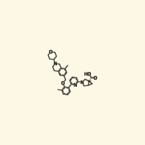 Cc1cc(COc2c(C)cccc2-c2cccc(N3CC4C[C@]4(C(=O)O)C3)n2)cc2c1CN(C1CCOCC1)CC2